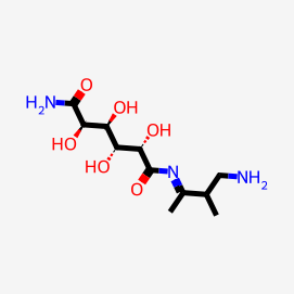 C/C(=N\C(=O)[C@@H](O)[C@H](O)[C@H](O)[C@@H](O)C(N)=O)C(C)CN